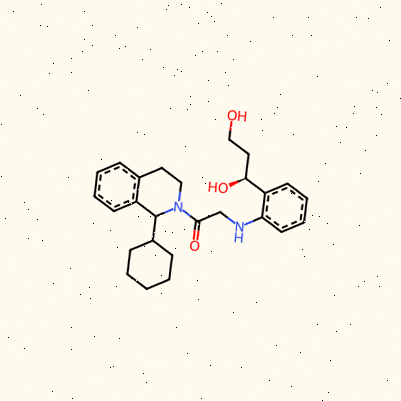 O=C(CNc1ccccc1[C@@H](O)CCO)N1CCc2ccccc2C1C1CCCCC1